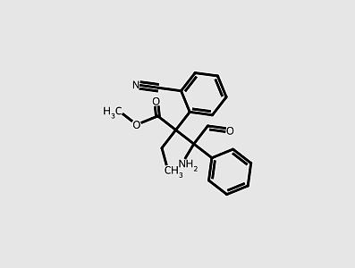 CCC(C(=O)OC)(c1ccccc1C#N)C(N)(C=O)c1ccccc1